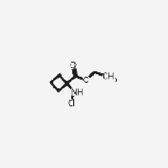 CCOC(=O)C1(NCl)CCC1